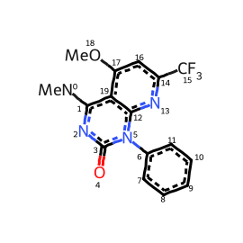 CNc1nc(=O)n(-c2ccccc2)c2nc(C(F)(F)F)cc(OC)c12